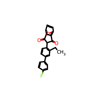 CCc1cc(-c2ccc(F)cc2)ccc1C1C(=O)c2c(c3ccc2o3)C1=O